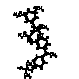 C=C(c1ccc(CC(C)(C)F)cc1)c1cccc(NC(=C)C2C(c3cc(C)cc(C)c3)C2(C)Cl)c1